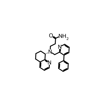 NC(=O)CCN(Cc1ncccc1-c1ccccc1)[C@H]1CCCc2cccnc21